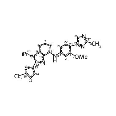 COc1cc(Nc2cccc3c2nc(-c2ccc(Cl)s2)n3C(C)C)ccc1-n1cnc(C)n1